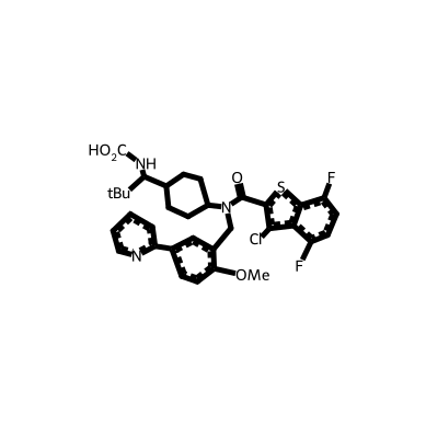 COc1ccc(-c2ccccn2)cc1CN(C(=O)c1sc2c(F)ccc(F)c2c1Cl)C1CCC(C(NC(=O)O)C(C)(C)C)CC1